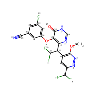 COc1nnc(C(F)F)cc1C(c1nc[nH]c(=O)c1Oc1cc(Cl)cc(C#N)c1)C(F)F